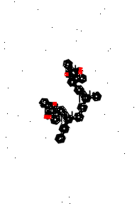 c1ccc(-c2ccc(-c3cc(-c4cccc(-c5ccc(-c6cc(-c7ccccc7)nc(-c7ccc(-c8cccc9c8-c8ccccc8C98c9ccccc9-n9c%10ccccc%10c%10cccc8c%109)cc7)n6)cc5)c4)nc(-c4cccc5c4-c4ccccc4C54c5ccccc5-n5c6ccccc6c6cccc4c65)n3)cc2)cc1